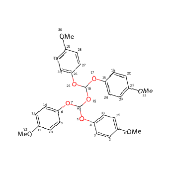 COc1ccc(OC(Oc2ccc(OC)cc2)OC(Oc2ccc(OC)cc2)Oc2ccc(OC)cc2)cc1